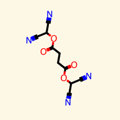 N#CC(C#N)OC(=O)CCC(=O)OC(C#N)C#N